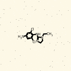 CCN1CCN=C1Nc1c(Cl)cc(N)cc1Cl